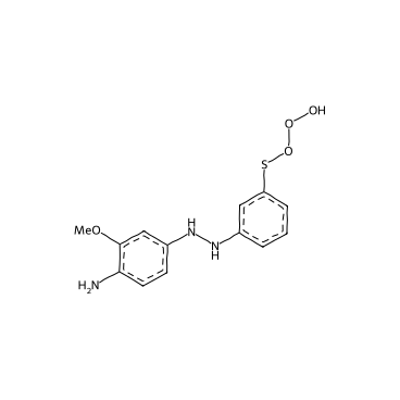 COc1cc(NNc2cccc(SOOO)c2)ccc1N